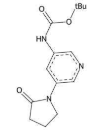 CC(C)(C)OC(=O)Nc1cncc(N2CCCC2=O)c1